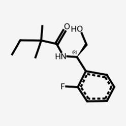 CCC(C)(C)C(=O)N[C@@H](CO)c1ccccc1F